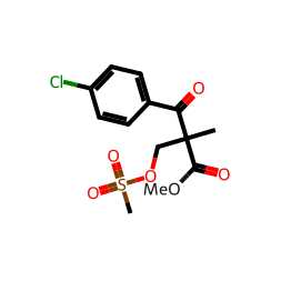 COC(=O)C(C)(COS(C)(=O)=O)C(=O)c1ccc(Cl)cc1